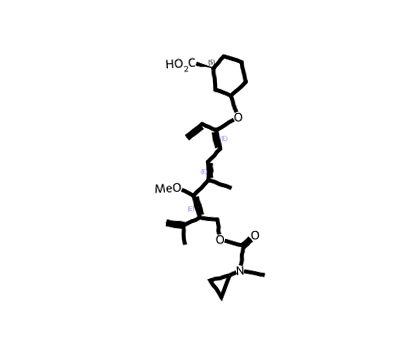 C=C\C(=C/C=C(C)/C(OC)=C(\COC(=O)N(C)C1CC1)C(=C)C)OC1CCC[C@H](C(=O)O)C1